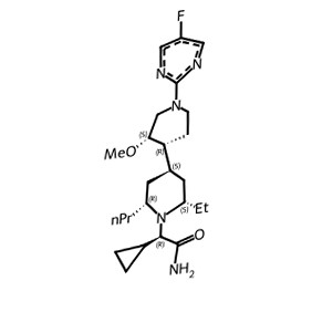 CCC[C@@H]1C[C@@H]([C@H]2CCN(c3ncc(F)cn3)C[C@H]2OC)C[C@H](CC)N1[C@@H](C(N)=O)C1CC1